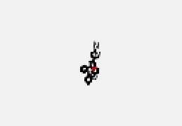 N#Cc1ccc(-c2cccc(-c3ccccc3N3c4ccccc4Oc4ccccc43)c2)cn1